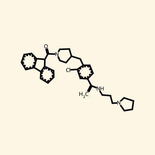 C=C(NCCCN1CCCC1)c1ccc(CC2CCN(C(=O)C3c4ccccc4-c4ccccc43)CC2)c(Cl)c1